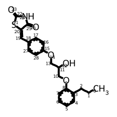 CCCc1ccccc1OCC(O)COc1ccc(C=C2SC(=O)NC2=O)cc1